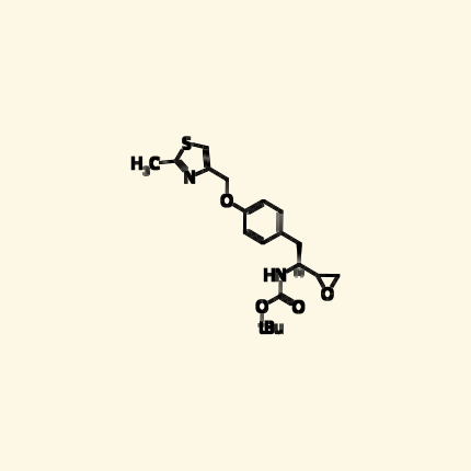 Cc1nc(COc2ccc(C[C@H](NC(=O)OC(C)(C)C)C3CO3)cc2)cs1